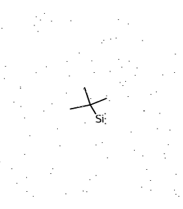 CC(C)(C)[Si]